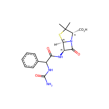 CC1(C)S[C@@H]2[C@H](NC(=O)C(NC(N)=O)c3ccccc3)C(=O)N2[C@H]1C(=O)O